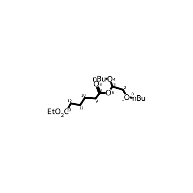 CCCCOCC(OCCCC)OC(=O)CCCCC(=O)OCC